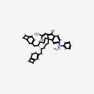 CCC1=C(C=C(C)C)C(CCCCCC2=CC3=C(CC2)CC3)(CCCCCC2=CC=C3CCC3C2)c2cc(N(C)c3ccccc3)ccc21